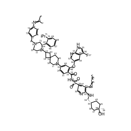 CC(C)=Nc1ccc(CN2CCN(C3CC4(CCN(c5ccc(C(=O)NS(=O)(=O)c6cnc(NC[C@H]7CC[C@](C)(O)CC7)c(N=C=S)c6)c(Oc6cnc7[nH]cc(F)c7c6)c5)CC4)C3)[C@H](c3ccccc3C(C)C)C2)cc1